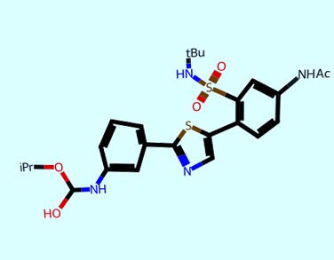 CC(=O)Nc1ccc(-c2cnc(-c3cccc(NC(O)OC(C)C)c3)s2)c(S(=O)(=O)NC(C)(C)C)c1